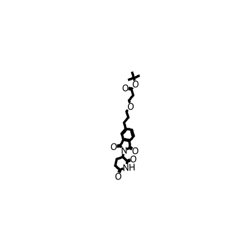 CC(C)(C)OC(=O)CCOCCCc1ccc2c(c1)C(=O)N(C1CCC(=O)NC1=O)C2=O